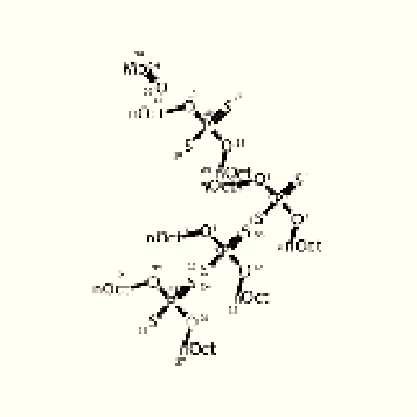 CCCCCCCCOP(=S)([S-])OCCCCCCCC.CCCCCCCCOP(=S)([S-])OCCCCCCCC.CCCCCCCCOP(=S)([S-])OCCCCCCCC.CCCCCCCCOP(=S)([S-])OCCCCCCCC.[O]=[Mo+4]